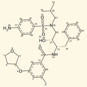 Cc1cc(OC2CCOC2)cc(C(=O)N[C@@H](Cc2ccccc2)[C@H](O)CN(CC(C)C)S(=O)(=O)c2ccc(N)cc2)c1